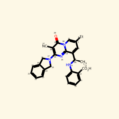 CCc1cc([C@@H](C)Nc2ccccc2C(=O)O)c2nc(N3Cc4ccccc4C3)c(C#N)c(=O)n2c1